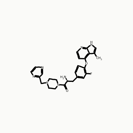 Cc1c[nH]c2nccc(Oc3ccc(C[C@H](N)C(=O)N4CCN(Cc5cnccn5)CC4)cc3F)c12